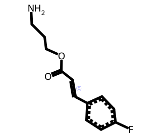 NCCCOC(=O)/C=C/c1ccc(F)cc1